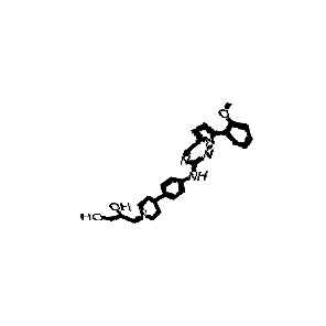 COc1ccccc1-c1ccc2cnc(Nc3ccc(C4CCN(C[C@H](O)CO)CC4)cc3)nn12